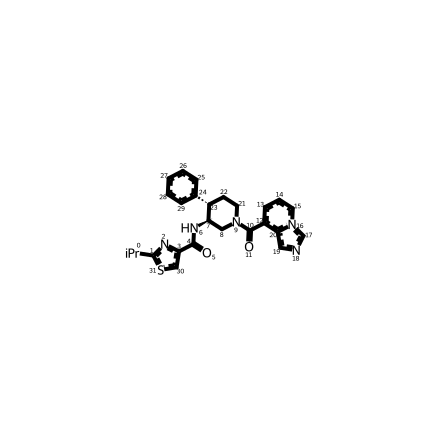 CC(C)c1nc(C(=O)N[C@@H]2CN(C(=O)c3cccn4cncc34)CC[C@H]2c2ccccc2)cs1